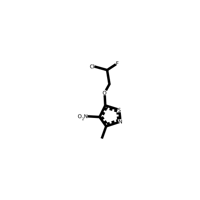 Cc1nsc(OCC(F)Cl)c1[N+](=O)[O-]